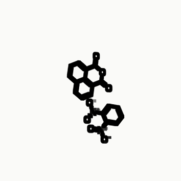 O=C1OC(=O)c2cccc3cccc1c23.O=[N+]([O-])c1ccccc1[N+](=O)[O-]